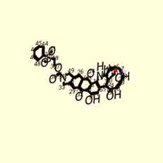 C[C@@H](O)[C@@]12C[C@]13c1cc(O)c4c(c1N[C@H]2C#C/C=C\C#C[C@H]3O)C(=O)c1cc2c(cc1C4=O)CN(C(=O)OCCS(=O)(=O)c1ccccc1)C2